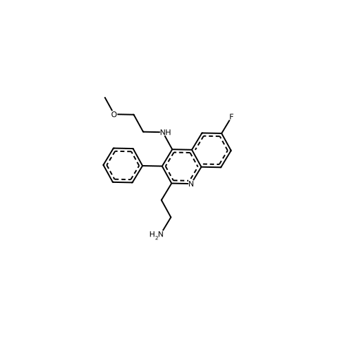 COCCNc1c(-c2ccccc2)c(CCN)nc2ccc(F)cc12